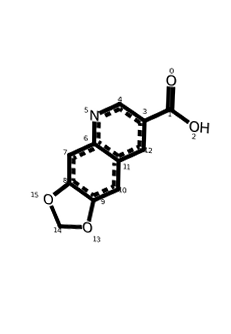 O=C(O)c1cnc2cc3c(cc2c1)OCO3